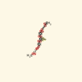 C=COC(=O)CCCCOOCOc1ccc(C(=O)Oc2ccc(OC(=O)c3ccc(OC(=O)OCCCCOC(=O)C=C)cc3)c3sc(=S)sc23)cc1